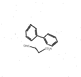 O=CCCC(=O)O.c1ccc(-c2ccccc2)cc1